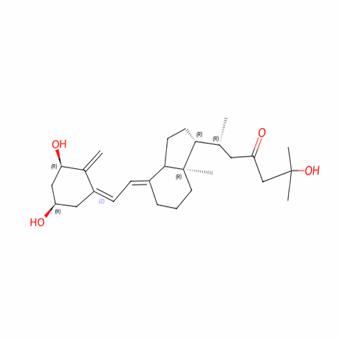 C=C1/C(=C\C=C2CCC[C@@]3(C)C2CC[C@@H]3[C@H](C)CC(=O)CC(C)(C)O)C[C@@H](O)C[C@H]1O